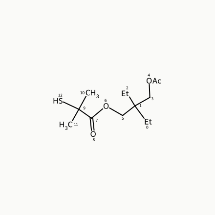 CCC(CC)(COC(C)=O)COC(=O)C(C)(C)S